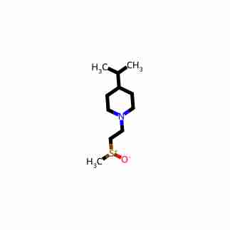 CC(C)C1CCN(CC[S+](C)[O-])CC1